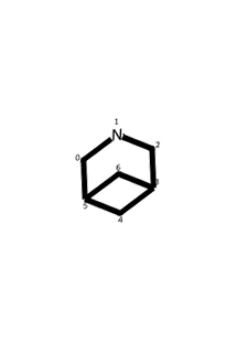 C1[N]CC2CC1C2